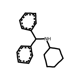 c1ccc(C(N[C]2CCCCC2)c2ccccc2)cc1